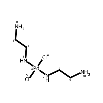 NCC[NH][Pd]([Cl])([Cl])[NH]CCN